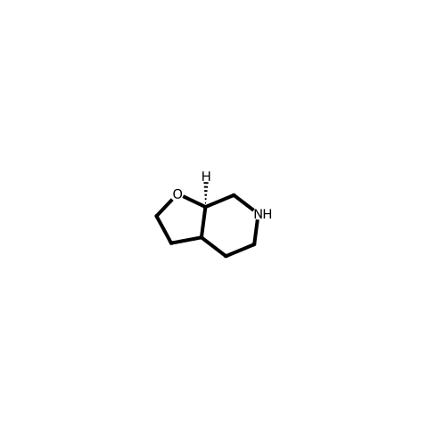 C1CC2CCO[C@H]2CN1